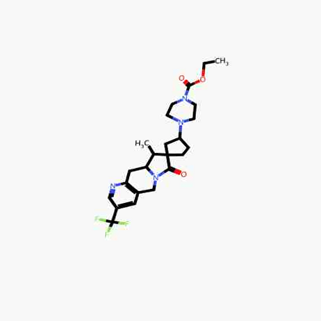 CCOC(=O)N1CCN(C2CCC3(C2)C(=O)N2Cc4cc(C(F)(F)F)cnc4CC2C3C)CC1